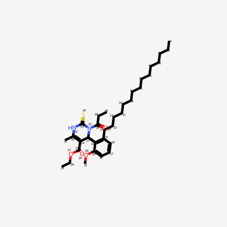 CCCCCCCCCCCCCCCc1cccc(OC)c1C1C(C(=O)OCC)=C(C)NC(=S)N1C(=O)CC